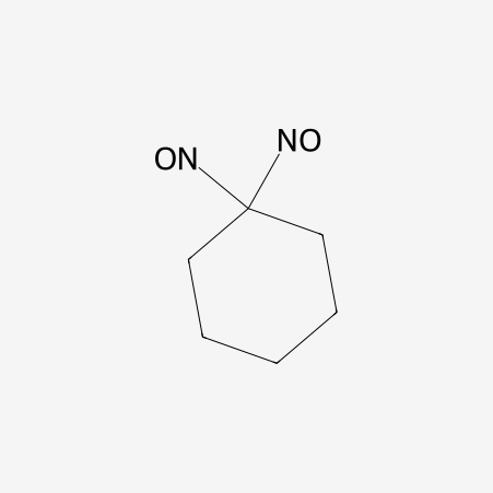 O=NC1(N=O)CCCCC1